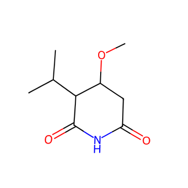 COC1CC(=O)NC(=O)C1C(C)C